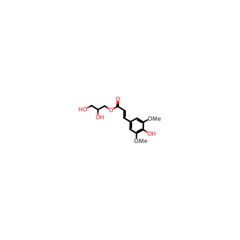 COc1cc(C=CC(=O)OCC(O)CO)cc(OC)c1O